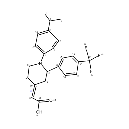 CC(C)c1ccc(N2CC/C(=C/C(=O)O)CC2c2ccc(C(F)(F)F)cc2)cc1